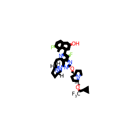 Cc1c(F)ccc2cc(O)cc(-c3nc4c5c(nc(OC[C@@]67CCCN6[C@H](COC(C6CC6)C(F)(F)F)CC7)nc5c3F)N3C[C@@H]5CC[C@@H](N5)[C@H]3CC4)c12